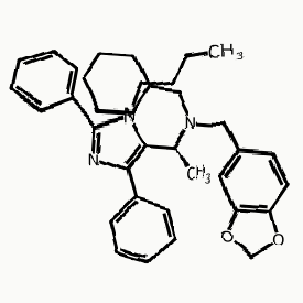 CCCCn1c(-c2ccccc2)nc(-c2ccccc2)c1[C@H](C)N(Cc1ccc2c(c1)OCO2)CC1CCCCC1